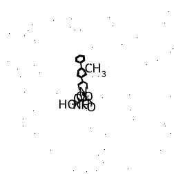 Cc1cc(C2=CCN(S(=O)(=O)C3(C(=O)NO)CCOCC3)CC2)ccc1-c1ccccc1